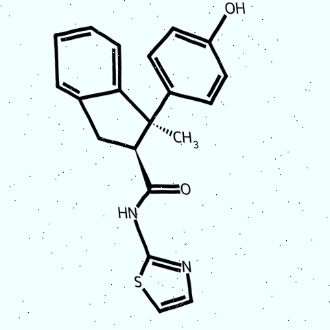 C[C@@]1(c2ccc(O)cc2)c2ccccc2C[C@@H]1C(=O)Nc1nccs1